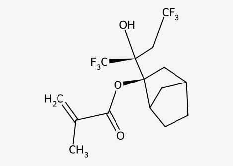 C=C(C)C(=O)O[C@@]1([C@](O)(CC(F)(F)F)C(F)(F)F)CC2CCC1C2